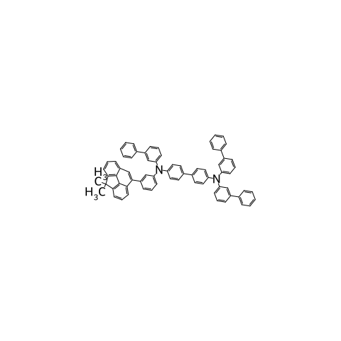 CC1(C)c2cccc3cc(-c4cccc(N(c5ccc(-c6ccc(N(c7cccc(-c8ccccc8)c7)c7cccc(-c8ccccc8)c7)cc6)cc5)c5cccc(-c6ccccc6)c5)c4)c4cccc1c4c23